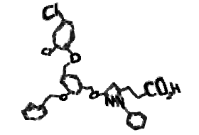 O=C(O)CCc1cc(OCc2cc(COc3ccc(Cl)cc3Cl)cc(OCc3ccccc3)c2)nn1-c1ccccc1